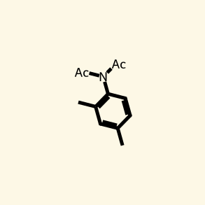 CC(=O)N(C(C)=O)c1ccc(C)cc1C